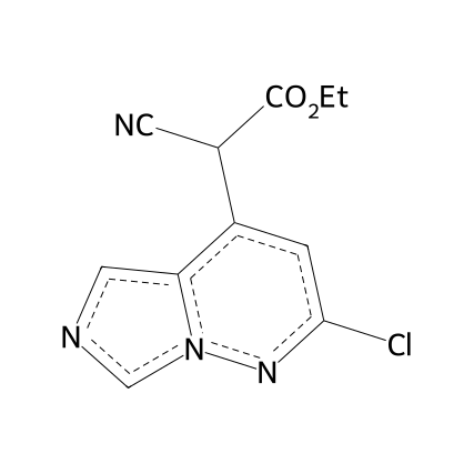 CCOC(=O)C(C#N)c1cc(Cl)nn2cncc12